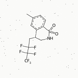 Cc1ccc2c(c1)C(CC(F)(F)C(F)(F)C(F)(F)F)CNS2(=O)=O